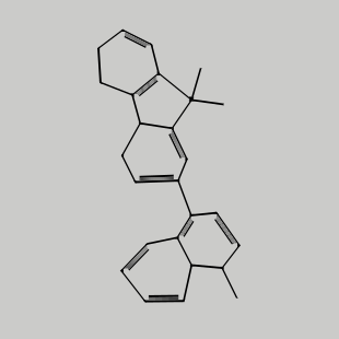 CC1(C)C2=CC(C3=C4C=CC=CC4C(I)C=C3)=CCC2C2=C1C=CCC2